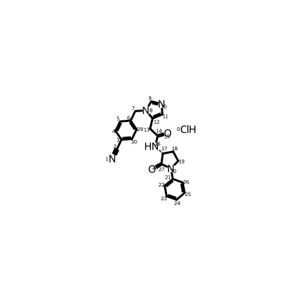 Cl.N#Cc1ccc(Cn2cncc2CC(=O)N[C@@H]2CCN(c3ccccc3)C2=O)cc1